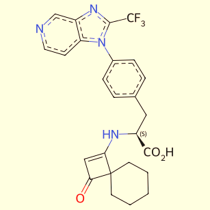 O=C(O)[C@H](Cc1ccc(-n2c(C(F)(F)F)nc3cnccc32)cc1)NC1=CC(=O)C12CCCCC2